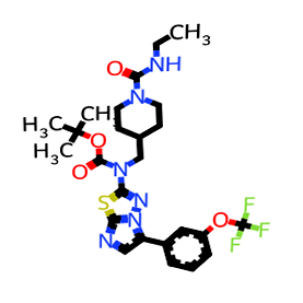 CCNC(=O)N1CCC(CN(C(=O)OC(C)(C)C)c2nn3c(-c4cccc(OC(F)(F)F)c4)cnc3s2)CC1